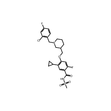 CS(=O)(=O)NC(=O)c1cc(C2CC2)c(OCC2CCCN(Cc3ccc(F)cc3Cl)C2)cc1F